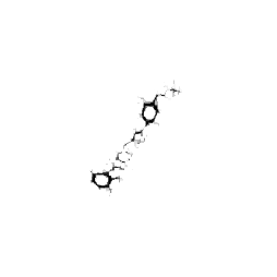 Fc1cccc(-c2nc3c([nH]2)C=NN(Cc2cc(-c4ccc(CCCC(F)(F)F)cc4)no2)C3)c1F